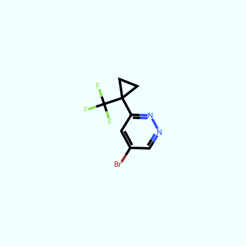 FC(F)(F)C1(c2cc(Br)cnn2)CC1